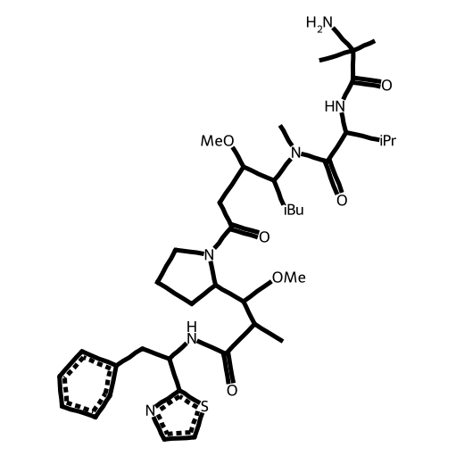 CCC(C)C(C(CC(=O)N1CCCC1C(OC)C(C)C(=O)NC(Cc1ccccc1)c1nccs1)OC)N(C)C(=O)C(NC(=O)C(C)(C)N)C(C)C